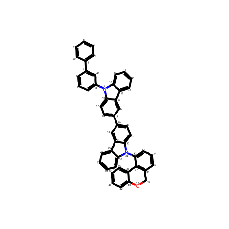 c1ccc(-c2cccc(-n3c4ccccc4c4cc(-c5ccc6c(c5)c5ccccc5n6-c5cccc6c5-c5ccccc5OC6)ccc43)c2)cc1